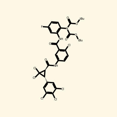 CC(C)(C)OC(=O)N(C(=O)OC(C)(C)C)c1ccc(F)cc1NC(=O)c1cc(NC(=O)[C@H]2[C@H](c3cc(Cl)c(Cl)c(Cl)c3)C2(Cl)Cl)ccc1Cl